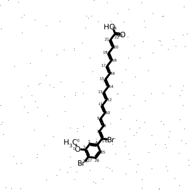 COc1cc(/C(Br)=C/C=C/C=C/C=C/C=C/C=C/C=C/C=C/C(=O)O)ccc1Br